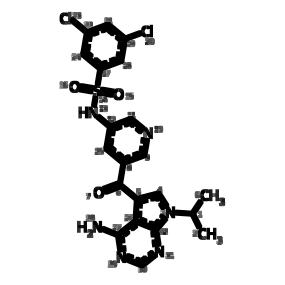 CC(C)n1cc(C(=O)c2cncc(NS(=O)(=O)c3cc(Cl)cc(Cl)c3)c2)c2c(N)ncnc21